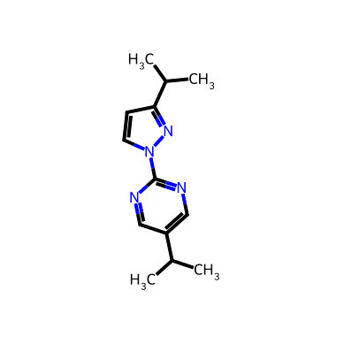 CC(C)c1cnc(-n2ccc(C(C)C)n2)nc1